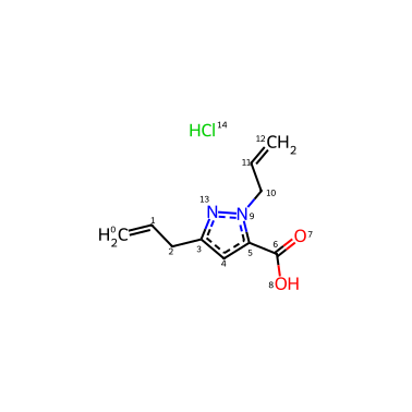 C=CCc1cc(C(=O)O)n(CC=C)n1.Cl